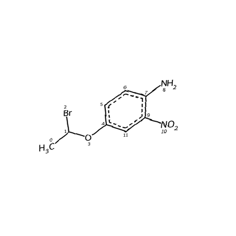 CC(Br)Oc1ccc(N)c([N+](=O)[O-])c1